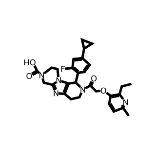 CCc1nc(C)ccc1OCC(=O)N1CCc2nc3n(c2C1c1ccc(C2CC2)cc1F)CCN(C(=O)O)C3